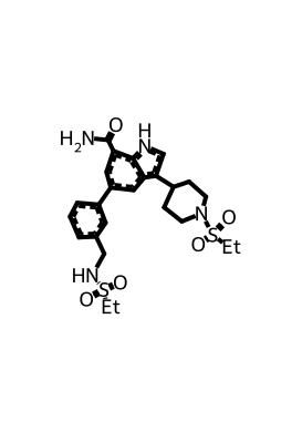 CCS(=O)(=O)NCc1cccc(-c2cc(C(N)=O)c3[nH]cc(C4CCN(S(=O)(=O)CC)CC4)c3c2)c1